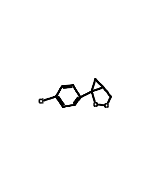 Clc1ccc(C23CC2COO3)cc1